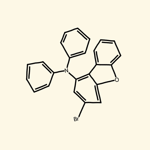 Brc1cc(N(c2ccccc2)c2ccccc2)c2c(c1)oc1ccccc12